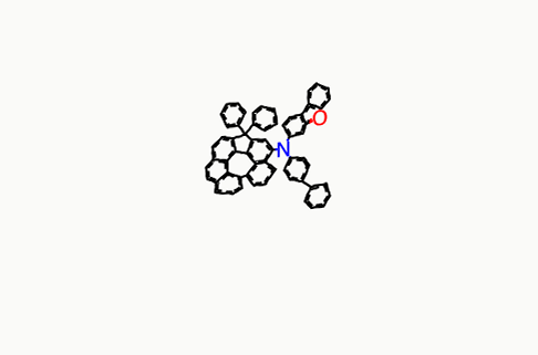 c1ccc(-c2ccc(N(c3ccc4c(c3)oc3ccccc34)c3cc4c5c6c(cccc36)-c3cccc6ccc7ccc(c-5c7c36)C4(c3ccccc3)c3ccccc3)cc2)cc1